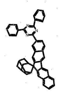 c1ccc(-c2nc(-c3ccccc3)nc(-c3ccc4cc5c(cc4c3)C3(c4cc6ccccc6cc4-5)C4CC5CC(C4)CC3C5)n2)cc1